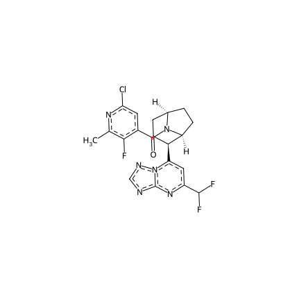 Cc1nc(Cl)cc(C(=O)N2[C@H]3CC[C@H](c4cc(C(F)F)nc5ncnn45)[C@@H]2CC3)c1F